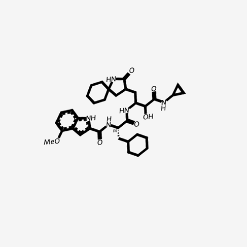 COc1cccc2[nH]c(C(=O)N[C@@H](CC3CCCCC3)C(=O)NC(CC3CC4(CCCCC4)NC3=O)C(O)C(=O)NC3CC3)cc12